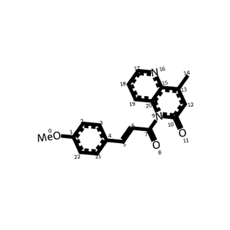 COc1ccc(C=CC(=O)n2c(=O)cc(C)c3ncccc32)cc1